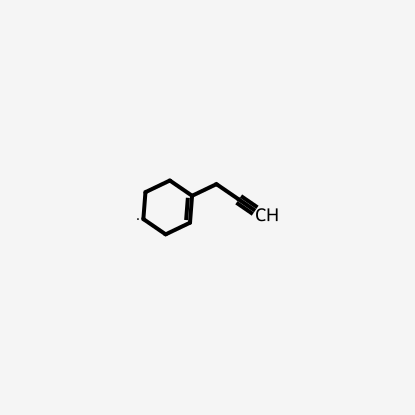 C#CCC1=CC[CH]CC1